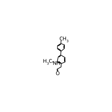 CNc1cc(-c2ccc(C)cc2)ccc1CC=O